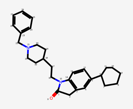 O=C1Cc2cc(C3CCCCC3)ccc2N1CCC1CCN(Cc2ccccc2)CC1